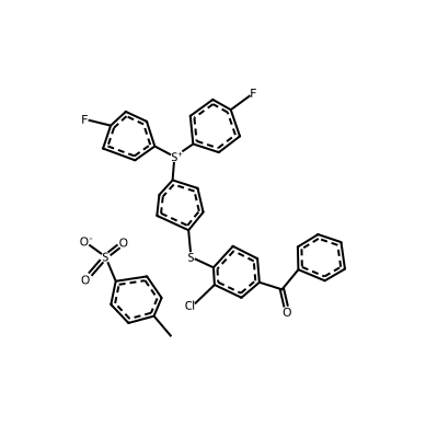 Cc1ccc(S(=O)(=O)[O-])cc1.O=C(c1ccccc1)c1ccc(Sc2ccc([S+](c3ccc(F)cc3)c3ccc(F)cc3)cc2)c(Cl)c1